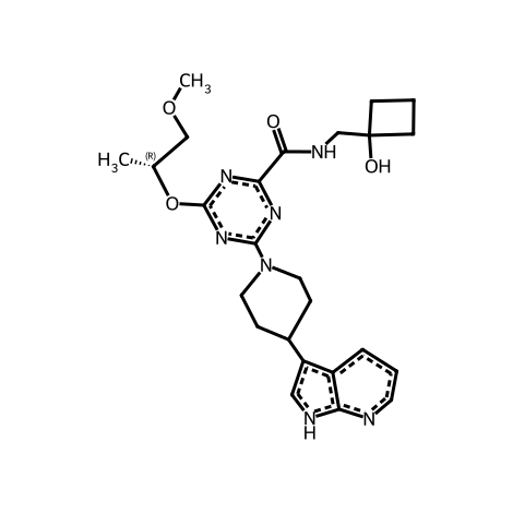 COC[C@@H](C)Oc1nc(C(=O)NCC2(O)CCC2)nc(N2CCC(c3c[nH]c4ncccc34)CC2)n1